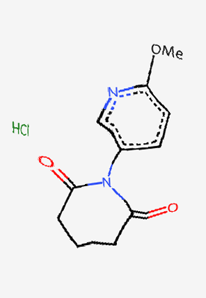 COc1ccc(N2C(=O)CCCC2=O)cn1.Cl